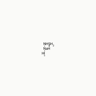 I.N.S.[NaH]